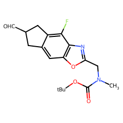 CN(Cc1nc2c(F)c3c(cc2o1)CC(C=O)C3)C(=O)OC(C)(C)C